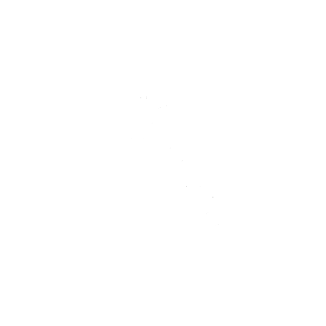 CC1CCC2(C(=O)O)CCC3(C)C(=CCC4C5(C)CCC(=O)C(C)(C)C5CCC43C)C2C1C